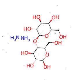 N.N.OC[C@H]1O[C@@H](O[C@H]2[C@H](O)[C@@H](O)[C@H](O)O[C@@H]2CO)[C@H](O)[C@@H](O)[C@H]1O